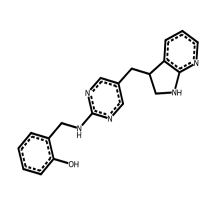 Oc1ccccc1CNc1ncc(CC2CNc3ncccc32)cn1